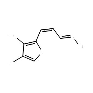 Cc1c(Br)coc1/C=C\C=N\O